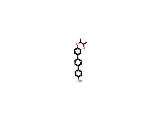 CC(=O)C(C)Oc1ccc(-c2ccc(-c3ccc(O)cc3)cc2)cc1